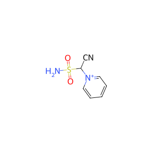 N#CC([n+]1ccccc1)S(N)(=O)=O